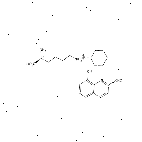 NC1CCCCC1.NCCCC[C@H](N)C(=O)O.O=Cc1ccc2cccc(O)c2n1